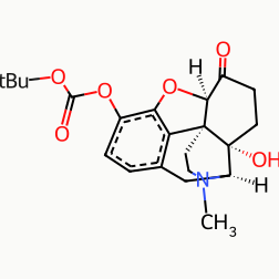 CN1CC[C@]23c4c5ccc(OC(=O)OC(C)(C)C)c4O[C@H]2C(=O)CC[C@@]3(O)[C@H]1C5